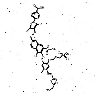 Cc1cc(N=Nc2c(S(=O)(=O)O)cc3cc(N=Nc4c(C)nn(-c5ccc(C(=O)O)cc5)c4O)ccc3c2O)c(OCCCS(=O)(=O)O)cc1N=Nc1nnc(CS)s1